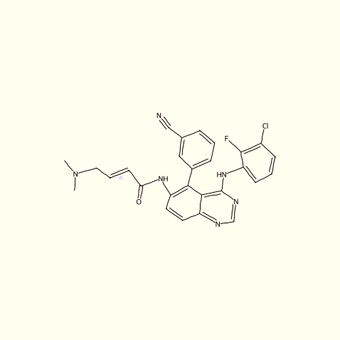 CN(C)C/C=C/C(=O)Nc1ccc2ncnc(Nc3cccc(Cl)c3F)c2c1-c1cccc(C#N)c1